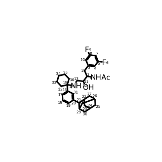 CC(=O)NC(Cc1cc(F)cc(F)c1)C(O)CNC1(c2cccc(C3C4CC5CC(C4)CC3C5)c2)CCCCC1